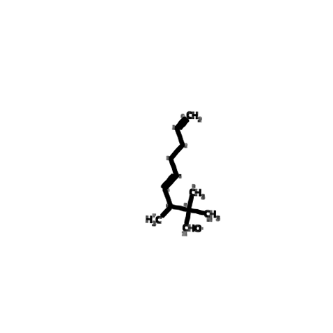 C=CCC/C=C/C(C)C(C)(C)[C]=O